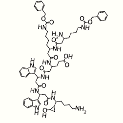 NCCCCC(NC(=O)CC(NC(=O)CC(NC(=O)CC(CCC(=O)O)NC(=O)CC(CCCCNC(=O)OCc1ccccc1)NC(=O)CC(N)CCCCNC(=O)OCc1ccccc1)c1c[nH]c2ccccc12)c1c[nH]c2ccccc12)C1CC1O